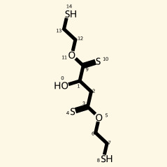 OC(CC(=S)OCCS)C(=S)OCCS